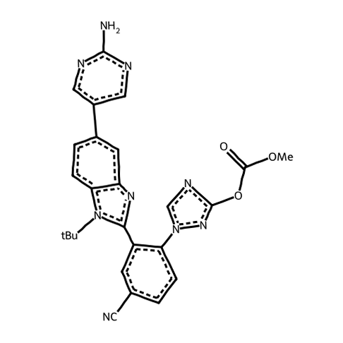 COC(=O)Oc1ncn(-c2ccc(C#N)cc2-c2nc3cc(-c4cnc(N)nc4)ccc3n2C(C)(C)C)n1